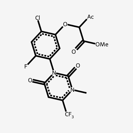 COC(=O)C(Oc1cc(-n2c(=O)cc(C(F)(F)F)n(C)c2=O)c(F)cc1Cl)C(C)=O